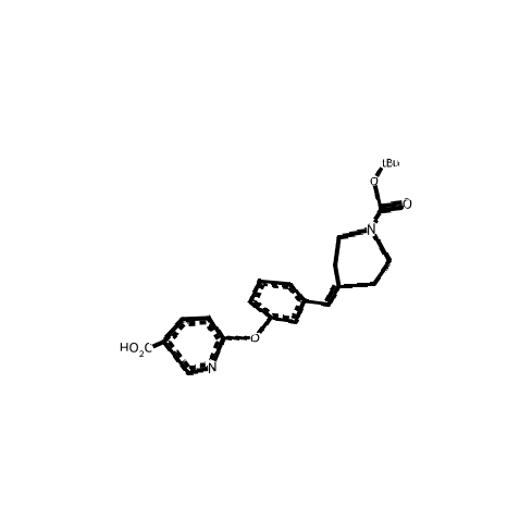 CC(C)(C)OC(=O)N1CCC(=Cc2cccc(Oc3ccc(C(=O)O)cn3)c2)CC1